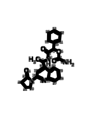 CC(NC(=O)C(OC(N)=O)c1ccccc1)c1cc(N2CCCC2=O)nc2ccccc12